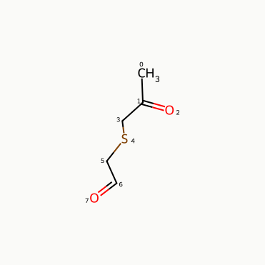 CC(=O)CSCC=O